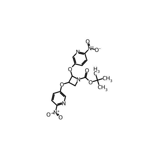 CC(C)(C)OC(=O)N1CC(Oc2ccc([N+](=O)[O-])nc2)C1Oc1ccc([N+](=O)[O-])nc1